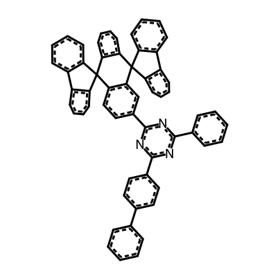 c1ccc(-c2ccc(-c3nc(-c4ccccc4)nc(-c4ccc5c(c4)C4(c6ccccc6-c6ccccc64)c4ccccc4C54c5ccccc5-c5ccccc54)n3)cc2)cc1